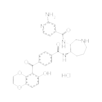 Cl.Nc1cc(C(=O)N[C@@H]2CNCCC[C@H]2NC(=O)c2ccc(C(=O)c3c(O)ccc4c3OCCO4)cc2)ccn1